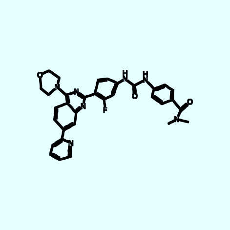 CN(C)C(=O)c1ccc(NC(=O)Nc2ccc(-c3nc(N4CCOCC4)c4ccc(-c5ccccn5)cc4n3)c(F)c2)cc1